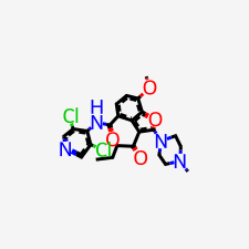 CCCC(=O)c1c(N2CCN(C)CC2)oc2c(OC)ccc(C(=O)Nc3c(Cl)cncc3Cl)c12